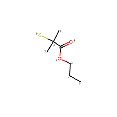 CCCOC(=O)C(C)(C)[S]